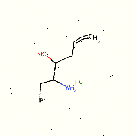 C=CCC(O)C(N)CC(C)C.Cl